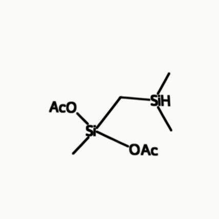 CC(=O)O[Si](C)(C[SiH](C)C)OC(C)=O